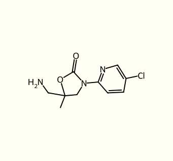 CC1(CN)CN(c2ccc(Cl)cn2)C(=O)O1